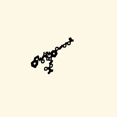 C=C(C)OCOCCOc1ccc(OCCOC(=O)C(=C)C)c(NC(=O)CC(=O)N2CCc3ccccc32)c1